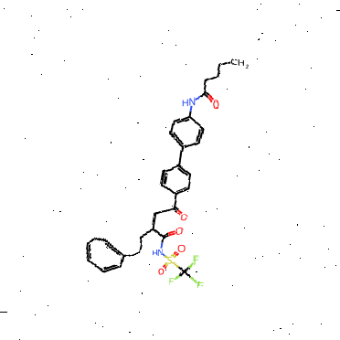 CCCCC(=O)Nc1ccc(-c2ccc(C(=O)CC(CCc3ccccc3)C(=O)NS(=O)(=O)C(F)(F)F)cc2)cc1